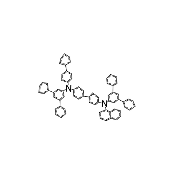 c1ccc(-c2ccc(N(c3ccc(-c4ccc(N(c5cc(-c6ccccc6)cc(-c6ccccc6)c5)c5cccc6ccccc56)cc4)cc3)c3cc(-c4ccccc4)cc(-c4ccccc4)c3)cc2)cc1